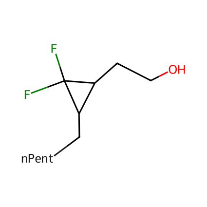 CCCCCCC1C(CCO)C1(F)F